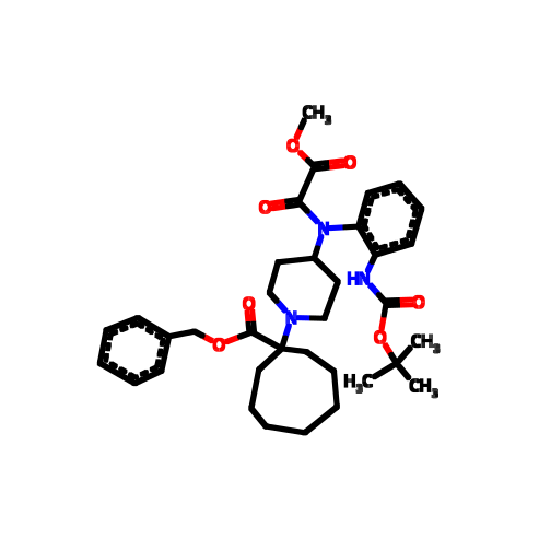 COC(=O)C(=O)N(c1ccccc1NC(=O)OC(C)(C)C)C1CCN(C2(C(=O)OCc3ccccc3)CCCCCCC2)CC1